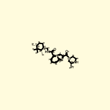 CC(C)[C@H]1CN(C(=O)c2cn3c(C(=O)NC[C@@H]4CC[C@@H](C)C(C)(C)[C@H]4C)cccc3n2)CCN1